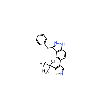 CC(C)(C)c1sn[c]c1-c1ccc2[nH]nc(Cc3ccccc3)c2c1